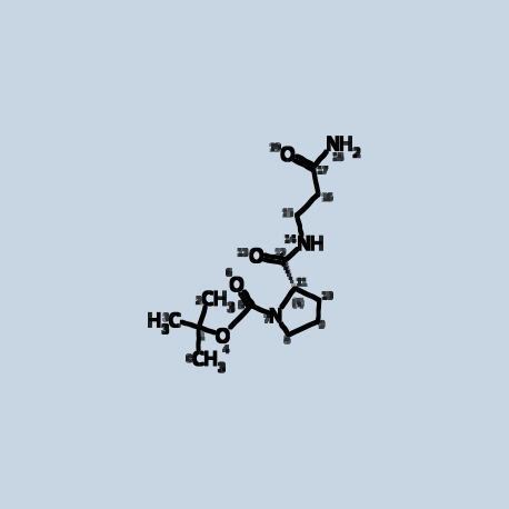 CC(C)(C)OC(=O)N1CCC[C@H]1C(=O)NCCC(N)=O